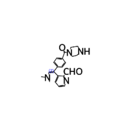 CN(C)/C=C(/c1ccc(C(=O)N2CCNCC2)cc1)c1cccnc1C=O